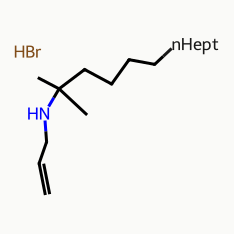 Br.C=CCNC(C)(C)CCCCCCCCCCC